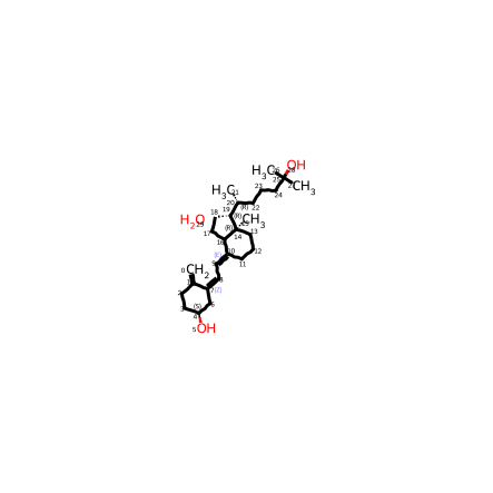 C=C1CC[C@H](O)C/C1=C/C=C1\CCC[C@@]2(C)C1CC[C@@H]2[C@H](C)CCCC(C)(C)O.O